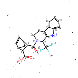 O=C(O)C1C2C=CC(C2)C1C(=O)N1CCc2c([nH]c3ccccc23)C1C(F)(F)F